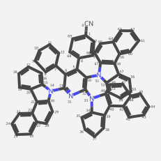 N#Cc1ccc(-c2c(-c3ccccc3)c(-n3c4ccccc4c4c5ccccc5ccc43)nc(-n3c4ccccc4c4c5ccccc5ccc43)c2-n2c3ccccc3c3c4ccccc4ccc32)cc1